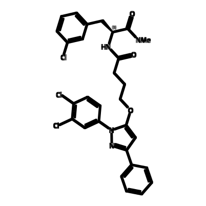 CNC(=O)[C@H](Cc1cccc(Cl)c1)NC(=O)CCCOc1cc(-c2ccccc2)nn1-c1ccc(Cl)c(Cl)c1